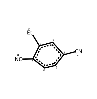 [CH2]Cc1cc(C#N)ccc1C#N